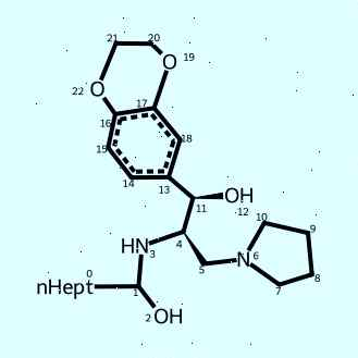 CCCCCCCC(O)N[C@H](CN1CCCC1)[C@H](O)c1ccc2c(c1)OCCO2